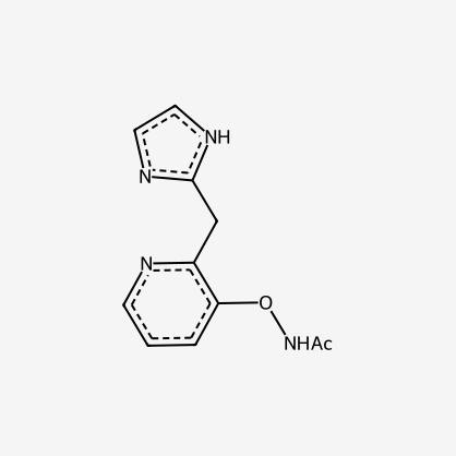 CC(=O)NOc1cccnc1Cc1ncc[nH]1